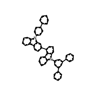 c1ccc(-c2ccc(-n3c4ccccc4c4ccc(-c5cccc6c5c5ccccc5n6-c5cc(-c6ccccc6)cc(-c6ccccc6)c5)cc43)cc2)cc1